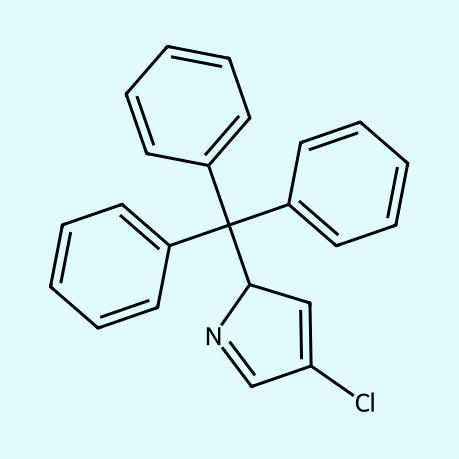 ClC1=CC(C(c2ccccc2)(c2ccccc2)c2ccccc2)N=C1